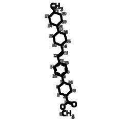 COC(=O)C1CCC(c2ccc(C=CC3CCC(C4CCC(C)CC4)CC3)cc2)CC1